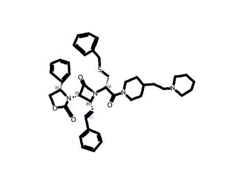 O=C([C@@H](CSCc1ccccc1)N1C(=O)[C@@H](N2C(=O)OC[C@@H]2c2ccccc2)[C@H]1/C=C/c1ccccc1)N1CCC(CCN2CCCCC2)CC1